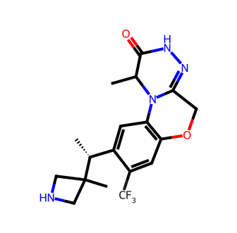 CC1C(=O)NN=C2COc3cc(C(F)(F)F)c([C@@H](C)C4(C)CNC4)cc3N21